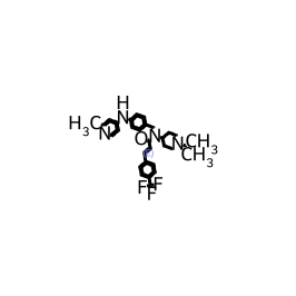 Cc1cc(Nc2ccc(CN(C(=O)/C=C/c3ccc(C(F)(F)F)cc3)C3CCN(C(C)C)CC3)cc2)ccn1